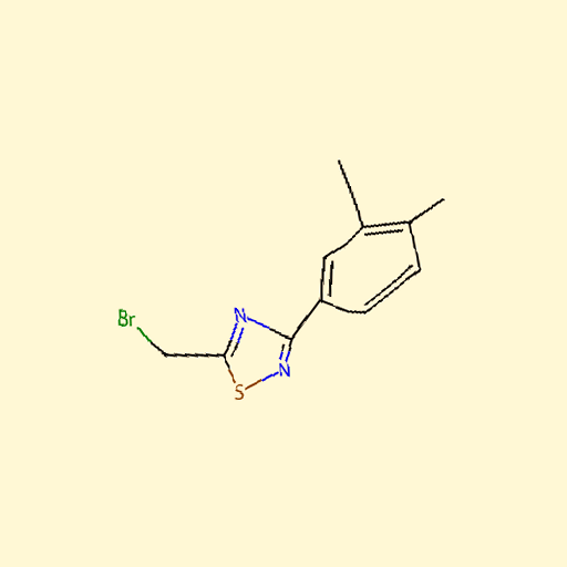 Cc1ccc(-c2nsc(CBr)n2)cc1C